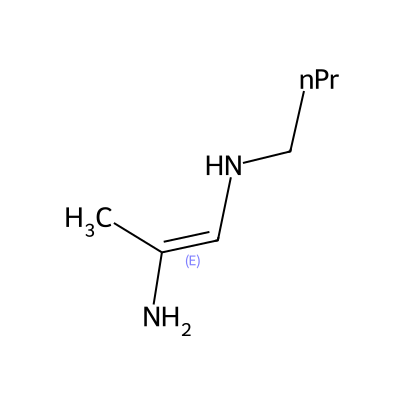 CCCCN/C=C(\C)N